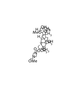 CCO[C@@H](C(C[C@@H](C)[C@H]1C[C@H](O)[C@@]2(C)C3CC[C@H]4C(C)(C)[C@@H](OC(=O)N5CCN(CCOC)CC5)CC[C@@]45CC35CC[C@]12C)OC)C(C)(C)O